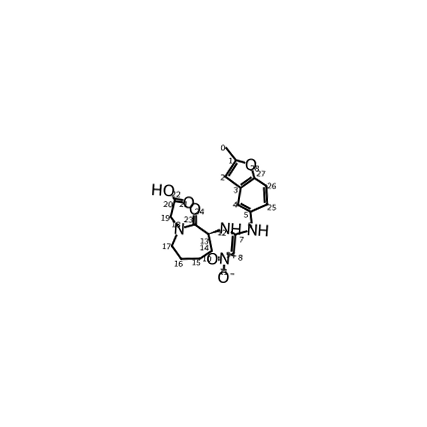 Cc1cc2cc(N/C(=C/[N+](=O)[O-])N[C@H]3CCCCN(CC(=O)O)C3=O)ccc2o1